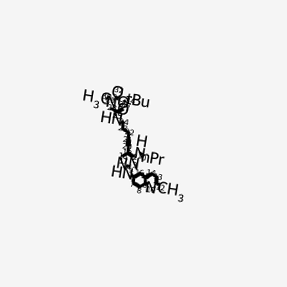 CCCNc1nc(Nc2ccc3nc(C)ccc3c2)ncc1C#CCCCNC(=O)CN(C)C(=O)OC(C)(C)C